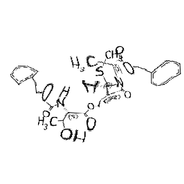 CC(O)[C@H](NC(=O)OCc1ccccc1)C(=O)OC[C@@H]1C(=O)N2[C@@H]1SC(C)(C)[C@@H]2C(=O)OCc1ccccc1